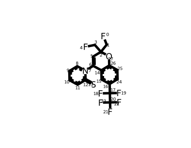 FCC1(CF)C=C(n2ccccc2=S)c2cc(C(F)(F)C(F)(F)F)ccc2O1